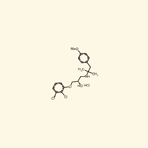 COc1ccc(CC(C)(C)NC[C@@H](O)COc2cccc(Cl)c2Cl)cc1.Cl